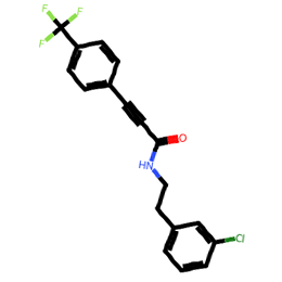 O=C(C#Cc1ccc(C(F)(F)F)cc1)NCCc1cccc(Cl)c1